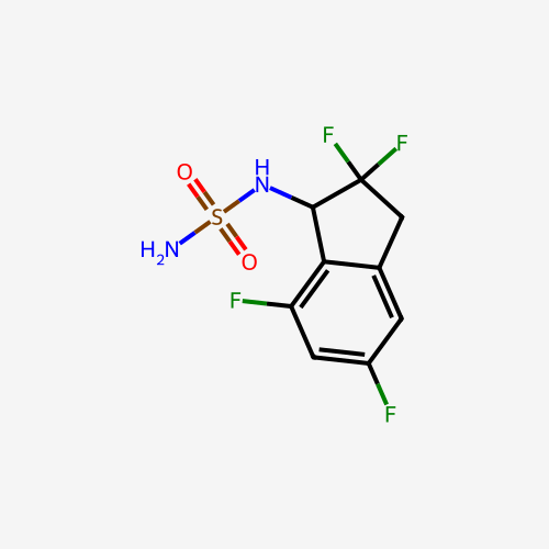 NS(=O)(=O)NC1c2c(F)cc(F)cc2CC1(F)F